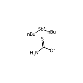 CCC[CH2][Sb+][CH2]CCC.NC([O-])=S